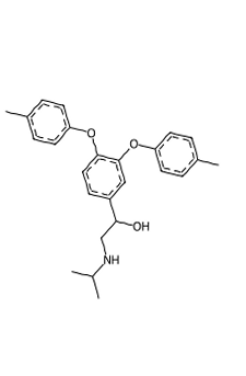 Cc1ccc(Oc2ccc(C(O)CNC(C)C)cc2Oc2ccc(C)cc2)cc1